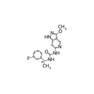 COc1n[nH]c2cc(NC(=O)N[C@H](C)c3cccc(F)c3)ncc12